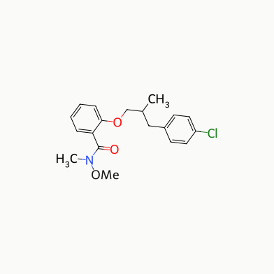 CON(C)C(=O)c1ccccc1OCC(C)Cc1ccc(Cl)cc1